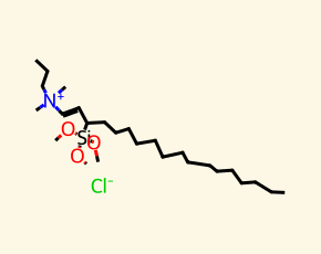 CCCCCCCCCCCCCCCC(C=C[N+](C)(C)CCC)[Si](OC)(OC)OC.[Cl-]